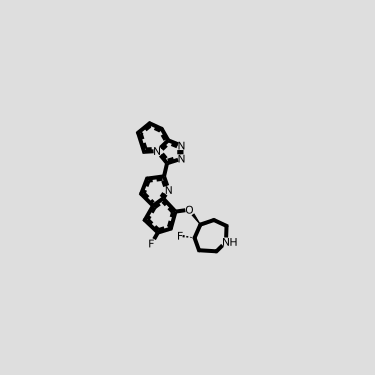 Fc1cc(O[C@H]2CCNCC[C@@H]2F)c2nc(-c3nnc4ccccn34)ccc2c1